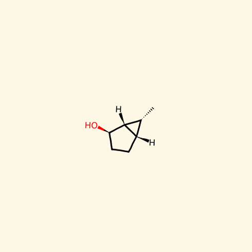 C[C@@H]1[C@@H]2CC[C@@H](O)[C@H]12